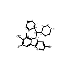 Fc1cc2c3ncc(Br)cc3n(C(c3ccccc3)C3CCOCC3)c2c(F)c1Cl